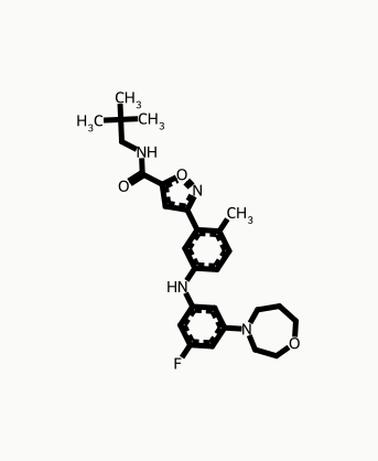 Cc1ccc(Nc2cc(F)cc(N3CCCOCC3)c2)cc1-c1cc(C(=O)NCC(C)(C)C)on1